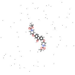 CC(C)(C)OC(=O)N1CCC(Oc2ccc3c(c2)C(=O)c2cc(OC4CCN(C(=O)OC(C)(C)C)CC4)ccc2-3)CC1